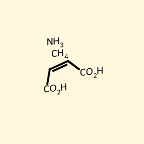 C.N.O=C(O)/C=C\C(=O)O